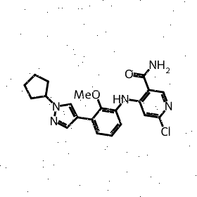 COc1c(Nc2cc(Cl)ncc2C(N)=O)cccc1-c1cnn(C2CCCC2)c1